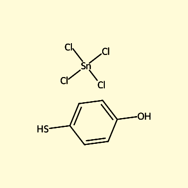 Oc1ccc(S)cc1.[Cl][Sn]([Cl])([Cl])[Cl]